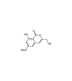 COc1cc(O)c2c(=O)oc(CC#N)cc2c1